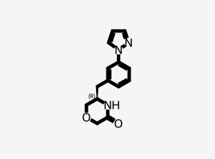 O=C1COC[C@@H](Cc2cccc(-n3cccn3)c2)N1